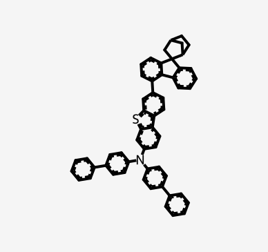 c1ccc(-c2ccc(N(c3ccc(-c4ccccc4)cc3)c3ccc4c(c3)sc3cc(-c5cccc6c5-c5ccccc5C65CC6CCC5C6)ccc34)cc2)cc1